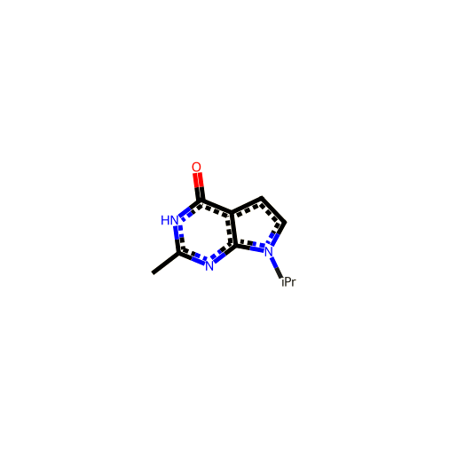 Cc1nc2c(ccn2C(C)C)c(=O)[nH]1